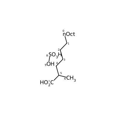 CCCCCCCCCCCCC(C)C(=O)O.O=S(=O)(O)O